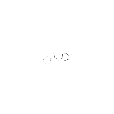 CC1CCC(C(=O)Nc2ccc(F)c(F)c2)CC1